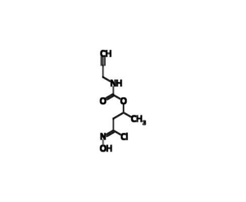 C#CCNC(=O)OC(C)CC(Cl)=NO